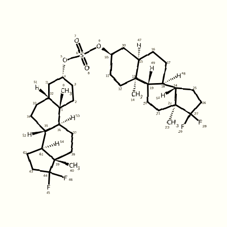 C[C@]12CC[C@@H](OS(=O)(=O)O[C@@H]3CC[C@@]4(C)[C@H](CC[C@@H]5[C@@H]4CC[C@@]4(C)[C@H]5CCC4(F)F)C3)C[C@H]1CC[C@@H]1[C@@H]2CC[C@@]2(C)[C@H]1CCC2(F)F